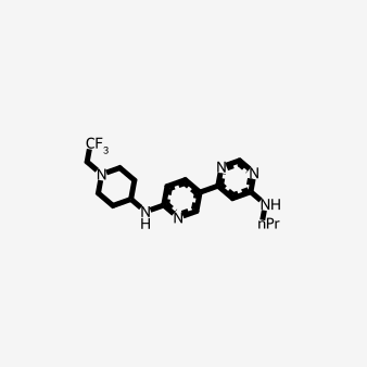 CCCNc1cc(-c2ccc(NC3CCN(CC(F)(F)F)CC3)nc2)ncn1